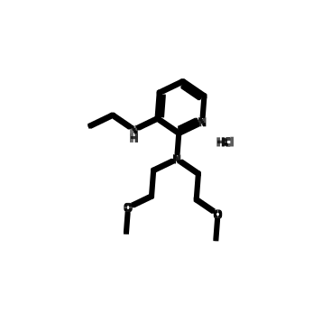 CCNc1cccnc1N(CCOC)CCOC.Cl